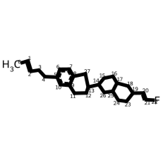 CC=CCCc1ccc2c(c1)CCC(C1CCC3CC(C=CF)CCC3C1)C2